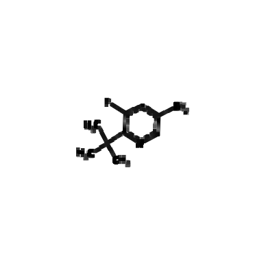 Bc1cnc(C(C)(C)C)c(F)c1